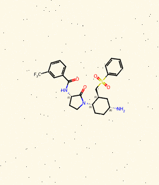 N[C@@H]1CC[C@H](N2CC[C@H](NC(=O)c3cccc(C(F)(F)F)c3)C2=O)[C@@H](CS(=O)(=O)c2ccccc2)C1